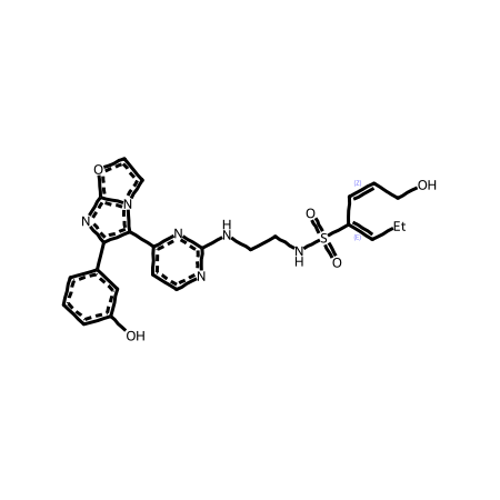 CC/C=C(\C=C/CO)S(=O)(=O)NCCNc1nccc(-c2c(-c3cccc(O)c3)nc3occn23)n1